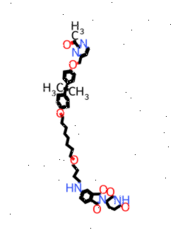 CC(=O)c1nccc(COc2ccc(C(C)(C)c3ccc(OCCCCCCCCOCCCCNc4ccc5c(c4)C(=O)N(C4CCC(=O)NC4=O)C5=O)cc3)cc2)n1